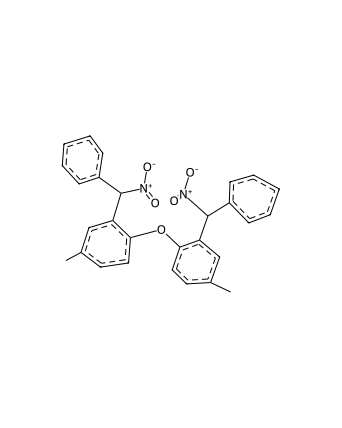 Cc1ccc(Oc2ccc(C)cc2C(c2ccccc2)[N+](=O)[O-])c(C(c2ccccc2)[N+](=O)[O-])c1